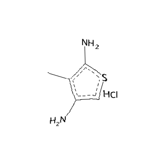 Cc1c(N)csc1N.Cl